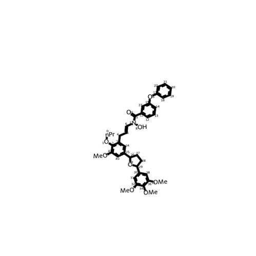 CCCOc1c(CC=CN(O)C(=O)c2cccc(Oc3ccccc3)c2)cc(C2CCC(c3cc(OC)c(OC)c(OC)c3)O2)cc1OC